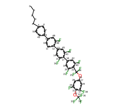 CCCCCc1ccc(-c2ccc(-c3cc(F)c(-c4cc(F)c(C(F)(F)Oc5cc(F)c(OC(F)(F)F)c(F)c5)c(F)c4)c(F)c3)c(F)c2)cc1